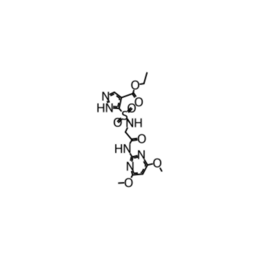 CCOC(=O)c1cn[nH]c1S(=O)(=O)NCC(=O)Nc1nc(OC)cc(OC)n1